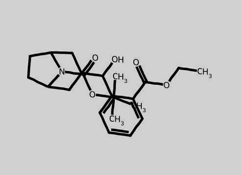 CCOC(=O)c1ccccc1C(O)C1CC2CCC(C1)N2C(=O)OC(C)(C)C